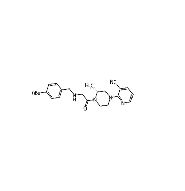 CCCCc1ccc(CNCC(=O)N2CCN(c3ncccc3C#N)C[C@H]2C)cc1